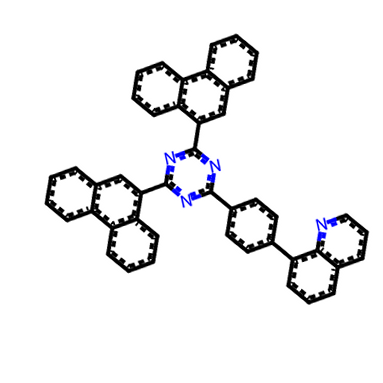 c1cnc2c(-c3ccc(-c4nc(-c5cc6ccccc6c6ccccc56)nc(-c5cc6ccccc6c6ccccc56)n4)cc3)cccc2c1